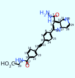 NNC(=O)c1cc(-c2ccc(C#Cc3ccc(C(=O)NCC(=O)O)cc3)cc2)nc2ccncc12